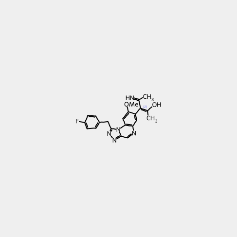 COc1cc2c(cc1/C(C(C)=N)=C(\C)O)ncc1nnc(Cc3ccc(F)cc3)n12